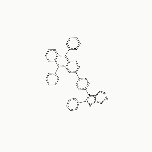 c1ccc(-c2c3ccccc3c(-c3ccccc3)c3cc(-c4ccc(-n5c(-c6ccccc6)nc6cnccc65)cc4)ccc23)cc1